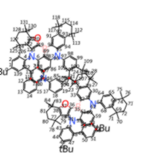 CC(C)(C)c1ccc(N2c3cc(N(c4ccccc4)c4cccc(CC5(C)CCC(C)(C)c6cc7c(cc65)B5c6oc8c(c6N(c6ccc(C(C)(C)C)cc6-c6ccccc6)c6cc(C(C)(C)C)cc(c65)N7c5ccc6c(c5)C(C)(C)CCC6(C)C)C(C)(C)CCC8(C)C)c4)cc4c3B(c3cc5c(cc3N4c3ccc4c(c3)C(C)(C)CCC4(C)C)C(C)(C)CCC5(C)C)c3oc4c(c32)C(C)(C)CCC4(C)C)c(-c2ccccc2)c1